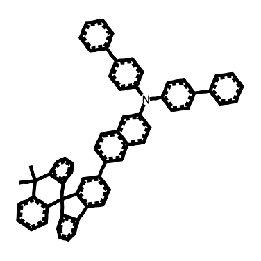 CC1(C)c2ccccc2C2(c3ccccc3-c3ccc(-c4ccc5cc(N(c6ccc(-c7ccccc7)cc6)c6ccc(-c7ccccc7)cc6)ccc5c4)cc32)c2ccccc21